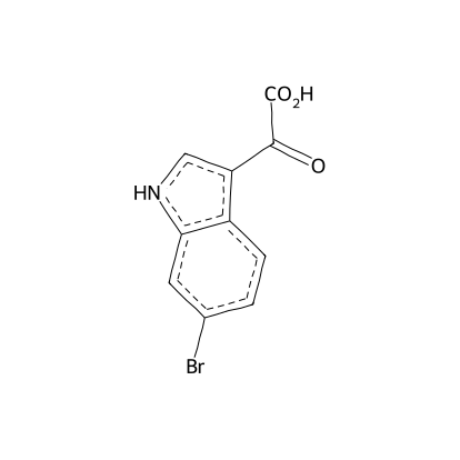 O=C(O)C(=O)c1c[nH]c2cc(Br)ccc12